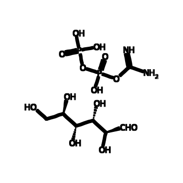 N=C(N)OP(=O)(O)OP(=O)(O)O.O=C[C@@H](O)[C@@H](O)[C@H](O)[C@H](O)CO